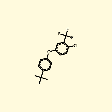 CC(C)(C)c1ccc(Oc2ccc(Cl)c(C(F)(F)F)c2)cc1